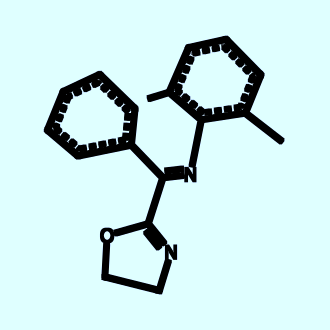 Cc1cccc(C)c1/N=C(/C1=NCCO1)c1ccccc1